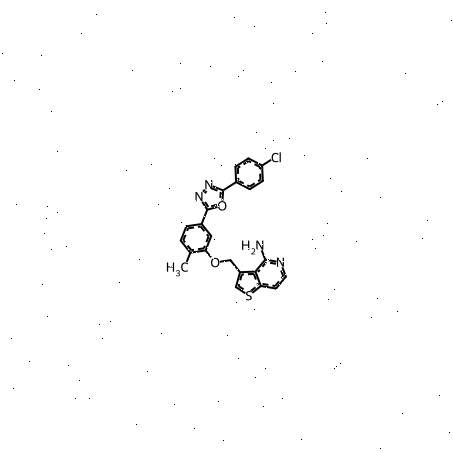 Cc1ccc(-c2nnc(-c3ccc(Cl)cc3)o2)cc1OCc1csc2ccnc(N)c12